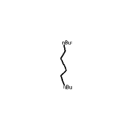 CCC[C]CCCCCCCC